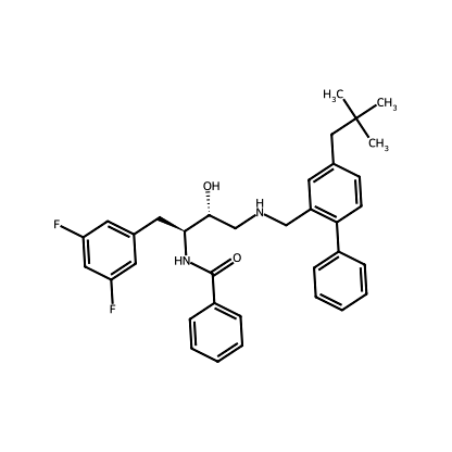 CC(C)(C)Cc1ccc(-c2ccccc2)c(CNC[C@@H](O)[C@H](Cc2cc(F)cc(F)c2)NC(=O)c2ccccc2)c1